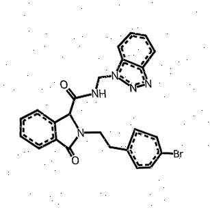 O=C(NCn1nnc2ccccc21)C1c2ccccc2C(=O)N1CCc1ccc(Br)cc1